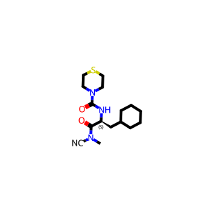 CN(C#N)C(=O)[C@H](CC1CCCCC1)NC(=O)N1CCSCC1